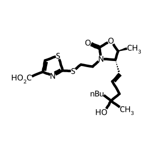 CCCCC(C)(O)CC=C[C@H]1[C@H](C)OC(=O)N1CCSc1nc(C(=O)O)cs1